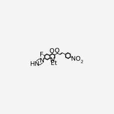 CCn1cc(C(=O)C=Cc2ccc([N+](=O)[O-])cc2)c(=O)c2cc(F)c(N3CCNCC3)cc21